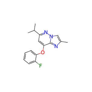 Cc1cn2nc(C(C)C)cc(Oc3ccccc3F)c2n1